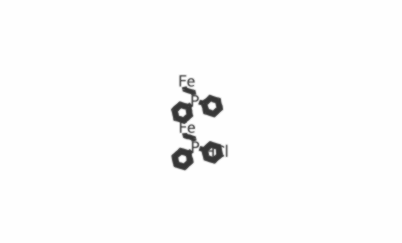 Cl.[Fe][CH2]CP(c1ccccc1)c1ccccc1.[Fe][CH2]CP(c1ccccc1)c1ccccc1